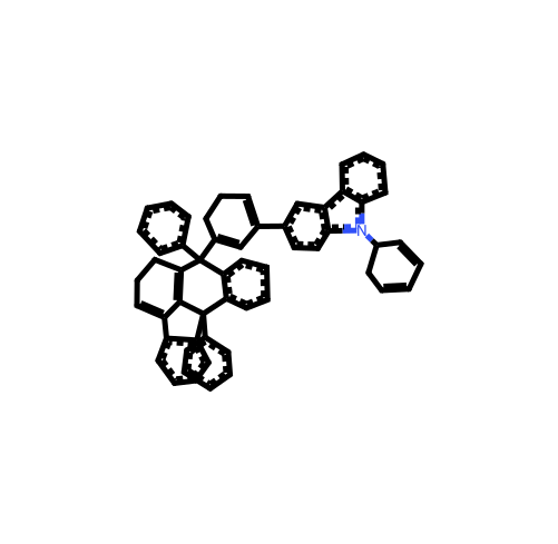 C1=CCC(n2c3ccccc3c3cc(C4=CCCC(C5(c6ccccc6)C6=C7C(=CCC6)c6ccccc6C7(c6ccccc6)c6ccccc65)=C4)ccc32)C=C1